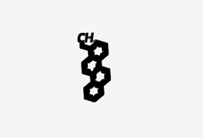 CCc1cccc2c1ccc1c3ccccc3ccc21